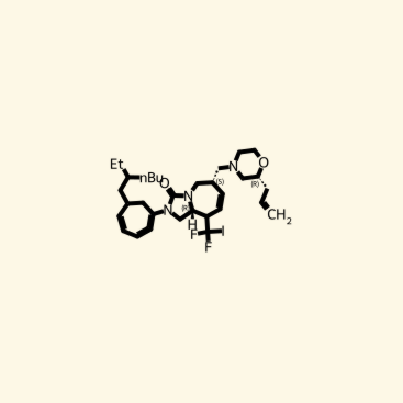 C=CC[C@@H]1CN(C[C@@H]2C=CC(C(F)(F)I)[C@@H]3CN(C4=C=CC=CC(CC(CC)CCCC)C4)C(=O)N3C2)CCO1